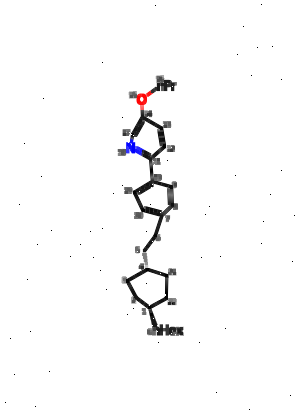 CCCCCC[C@H]1CC[C@H](CCc2ccc(-c3ccc(OCCC)cn3)cc2)CC1